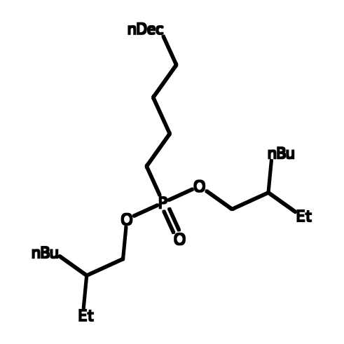 CCCCCCCCCCCCCCP(=O)(OCC(CC)CCCC)OCC(CC)CCCC